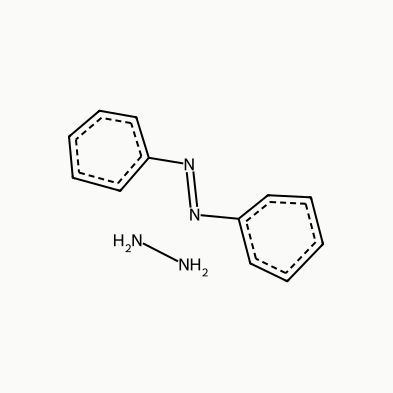 NN.c1ccc(N=Nc2ccccc2)cc1